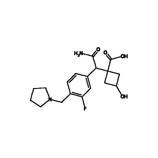 NC(=O)C(c1ccc(CN2CCCC2)c(F)c1)C1(C(=O)O)CC(O)C1